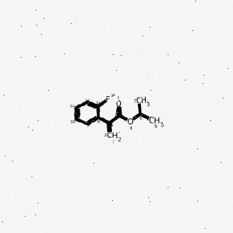 C=C(C(=O)OC(C)C)c1ccccc1F